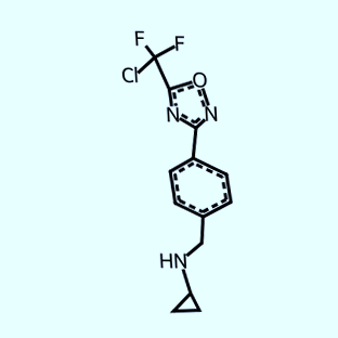 FC(F)(Cl)c1nc(-c2ccc(CNC3CC3)cc2)no1